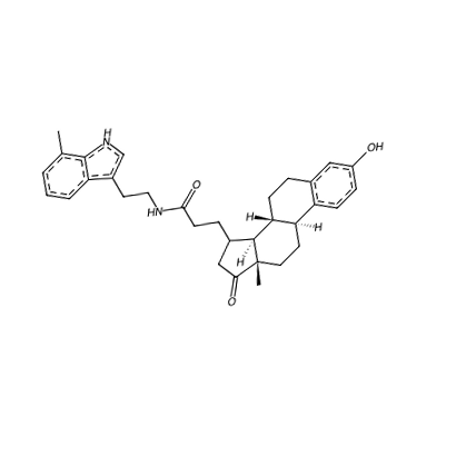 Cc1cccc2c(CCNC(=O)CCC3CC(=O)[C@@]4(C)CC[C@@H]5c6ccc(O)cc6CC[C@H]5[C@H]34)c[nH]c12